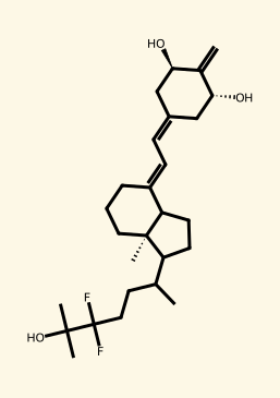 C=C1[C@H](O)CC(=C/C=C2\CCC[C@@]3(C)C2CCC3C(C)CCC(F)(F)C(C)(C)O)C[C@H]1O